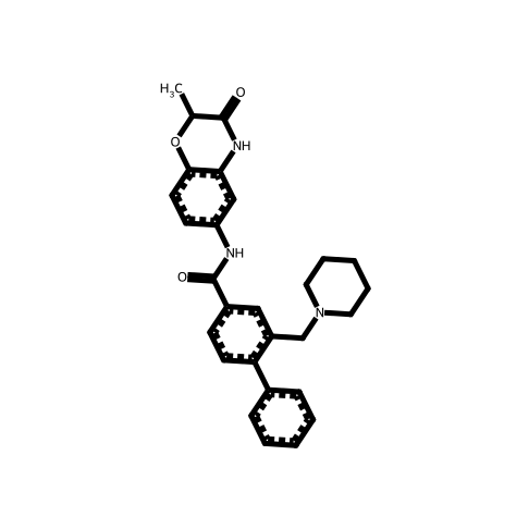 CC1Oc2ccc(NC(=O)c3ccc(-c4ccccc4)c(CN4CCCCC4)c3)cc2NC1=O